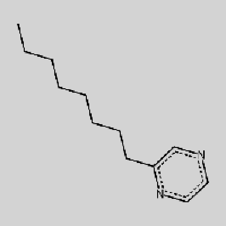 CCCCCCCCc1cnccn1